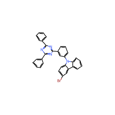 Brc1ccc2c(c1)c1ccccc1n2-c1cccc(-c2nc(-c3ccccc3)nc(-c3ccccc3)n2)c1